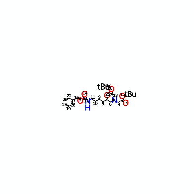 CC(C)(C)OC(=O)CN(CCCCCCNC(=O)OCc1ccccc1)CC(=O)OC(C)(C)C